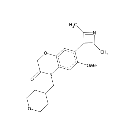 COc1cc2c(cc1C1=C(C)N=C1C)OCC(=O)N2CC1CCOCC1